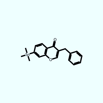 [CH3][Sn]([CH3])([CH3])[c]1ccc2c(=O)c(Cc3ccccc3)coc2c1